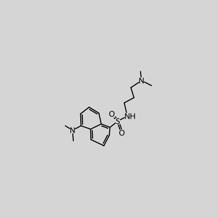 CN(C)CCCNS(=O)(=O)c1cccc2c(N(C)C)cccc12